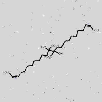 CCCCCCCC/C=C\CCCCCCCCC(O)(C(=O)O)C(O)(CCCCCCCC/C=C\CCCCCCCC)C(=O)O